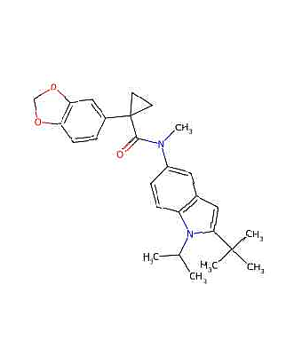 CC(C)n1c(C(C)(C)C)cc2cc(N(C)C(=O)C3(c4ccc5c(c4)OCO5)CC3)ccc21